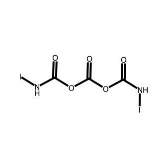 O=C(NI)OC(=O)OC(=O)NI